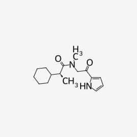 C[C@H](C(=O)N(C)CC(=O)c1ccc[nH]1)C1CCCCC1